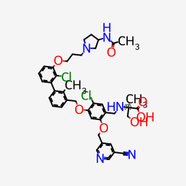 CC(=O)NC1CCN(CCCOc2cccc(-c3cccc(COc4cc(OCc5cncc(C#N)c5)c(CN[C@](C)(CO)C(=O)O)cc4Cl)c3C)c2Cl)C1